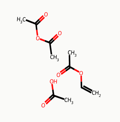 C=COC(C)=O.CC(=O)O.CC(=O)OC(C)=O